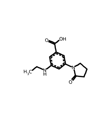 CCNc1cc(C(=O)O)cc(N2CCCC2=O)c1